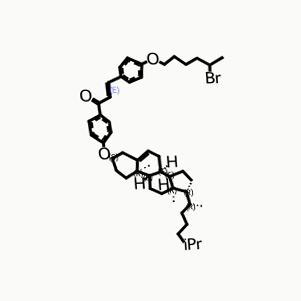 CC(C)CCC[C@@H](C)[C@H]1CC[C@H]2[C@@H]3CC=C4C[C@@H](Oc5ccc(C(=O)/C=C/c6ccc(OCCCCC(C)Br)cc6)cc5)CC[C@]4(C)[C@H]3CC[C@]12C